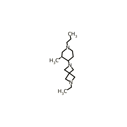 CCCN1CCC(N2CC3(CN(CC)C3)C2)[C@@H](C)C1